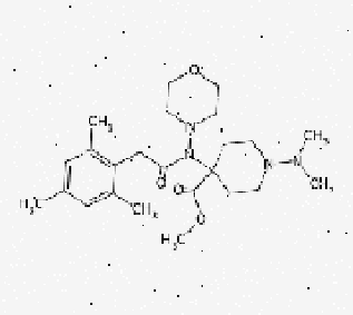 COC(=O)C1(N(C(=O)Cc2c(C)cc(C)cc2C)N2CCOCC2)CCN(N(C)C)CC1